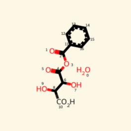 O.O=C(OC(=O)C(O)C(O)C(=O)O)c1ccccc1